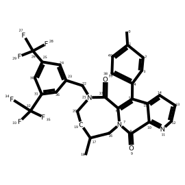 Cc1ccc(-c2c3n(c(=O)c4ncccc24)CC(C)CCN(Cc2cc(C(F)(F)F)cc(C(F)(F)F)c2)C3=O)cc1